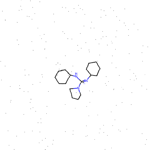 C1CCC(/N=C(\NC2CCCCC2)N2CCCC2)CC1